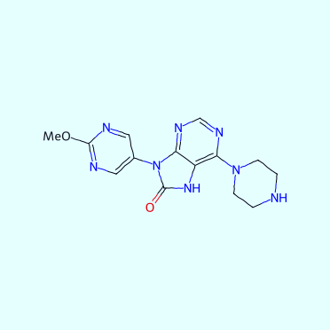 COc1ncc(-n2c(=O)[nH]c3c(N4CCNCC4)ncnc32)cn1